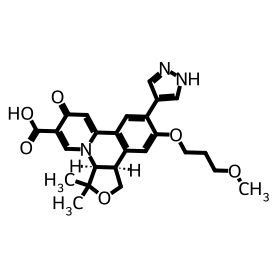 COCCCOc1cc2c(cc1-c1cn[nH]c1)-c1cc(=O)c(C(=O)O)cn1[C@H]1[C@@H]2COC1(C)C